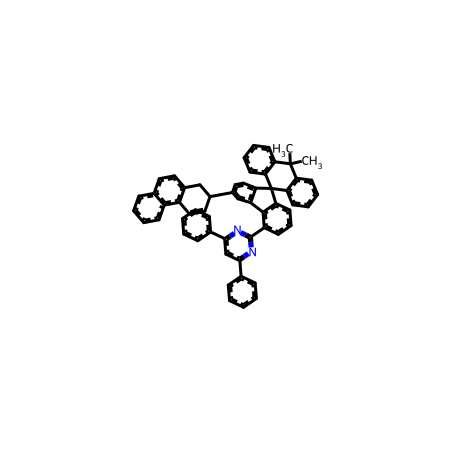 CC1(C)c2ccccc2C2(c3ccc(C4C=Cc5c(ccc6ccccc56)C4)cc3-c3c(-c4nc(-c5ccccc5)cc(-c5ccccc5)n4)cccc32)c2ccccc21